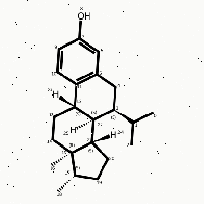 CC(C)[C@@H]1Cc2cc(O)ccc2[C@H]2CC[C@]3(C)[C@@H](C)CC[C@H]3[C@@H]21